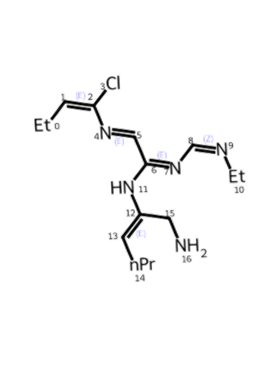 CC\C=C(Cl)/N=C/C(=N\C=N/CC)N/C(=C/CCC)CN